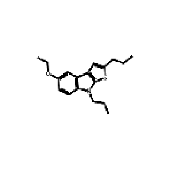 CCCc1cc2c3cc(OCC)ccc3n(CCC)c2s1